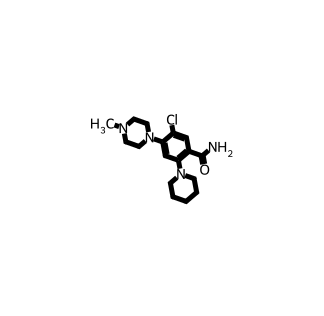 CN1CCN(c2cc(N3CCCCC3)c(C(N)=O)cc2Cl)CC1